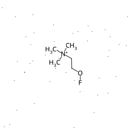 C[N+](C)(C)CCOF